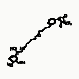 CN1C(=O)CN(c2cccc(CCCCOCCCCCCNC[C@@H](O)c3ccc(O)c(CO)c3)c2)C1=O